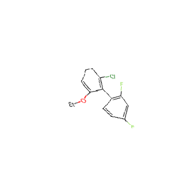 CCOC1=CCCC(Cl)=C1c1ccc(F)cc1F